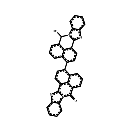 O=c1c2cccc3c(-c4ccc5c6c(cccc46)C(O)n4c-5nc5ccccc54)ccc(c32)c2nc3ccccc3n12